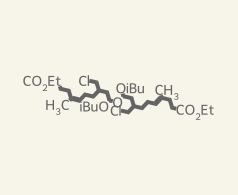 CCOC(=O)CCC(C)=CCCC(CCl)CC(OCC(C)C)OC(CC(CCl)CCC=C(C)CCC(=O)OCC)OCC(C)C